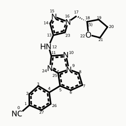 N#Cc1ccc(-c2cccn3nc(Nc4cnn(C[C@@H]5CCCO5)c4)nc23)cc1